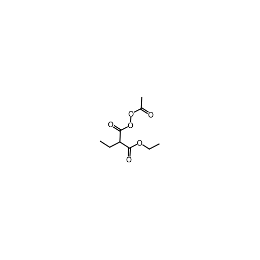 CCOC(=O)C(CC)C(=O)OOC(C)=O